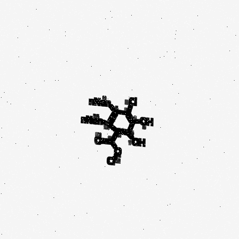 CCCCCCCCCc1c(Cl)c(O)c(O)c(C(=O)OCl)c1CCCCCCCCC